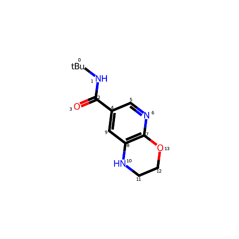 CC(C)(C)NC(=O)c1cnc2c(c1)NCCO2